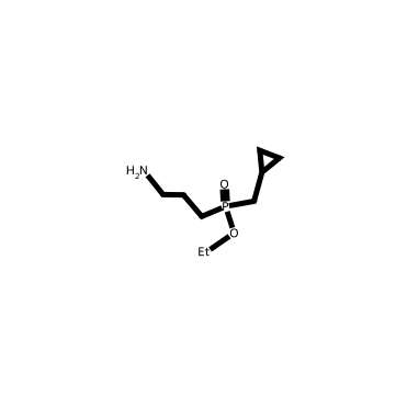 CCOP(=O)(CCCN)CC1CC1